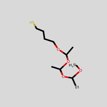 CCC(O[SiH3])OC(C)OC(C)OCCCCS